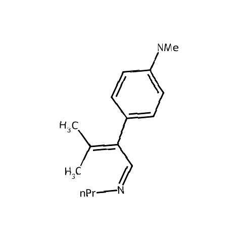 CCC/N=C\C(=C(C)C)c1ccc(NC)cc1